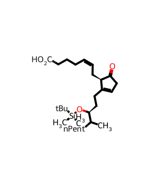 CCCCCC(C)[C@H](CCC1=CCC(=O)[C@@H]1C/C=C\CCCC(=O)O)O[Si](C)(C)C(C)(C)C